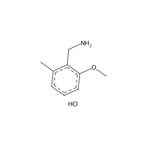 COc1cccc(C)c1CN.Cl